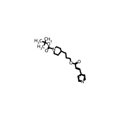 CC(C)(C)OC(=O)N1CCC(CCCOC(=O)/C=C/c2ccncc2)CC1